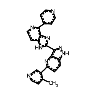 Cc1ccncc1-c1ccc2[nH]nc(-c3nc4c(-c5ccncc5)nccc4[nH]3)c2n1